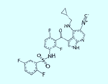 [C-]#[N+]c1cnc2[nH]cc(C(=O)c3c(F)ccc(NS(=O)(=O)c4cc(F)ccc4F)c3F)c2c1NCC1CC1